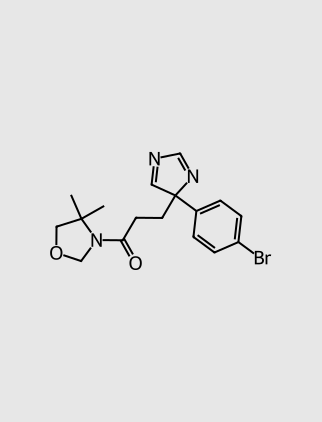 CC1(C)COCN1C(=O)CCC1(c2ccc(Br)cc2)C=NC=N1